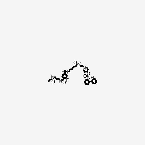 CCC(=O)N(C)CCCN(C)C(=O)c1ccc(NCCCCCC(=O)N(C)CCN2CCC(OC(=O)Nc3ccccc3-c3ccccc3)CC2)cc1F